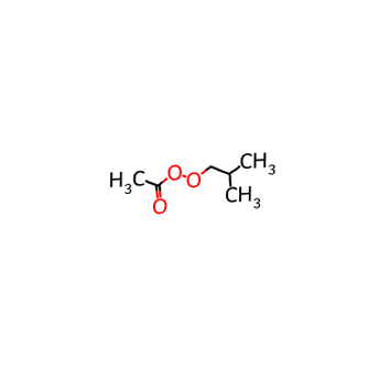 CC(=O)OOCC(C)C